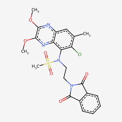 COc1nc2cc(C)c(Cl)c(N(CCN3C(=O)c4ccccc4C3=O)S(C)(=O)=O)c2nc1OC